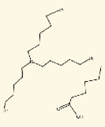 CC(C)CCCCCN(CCCCCC(C)C)CCCCCC(C)C.CCCCCC(=O)O